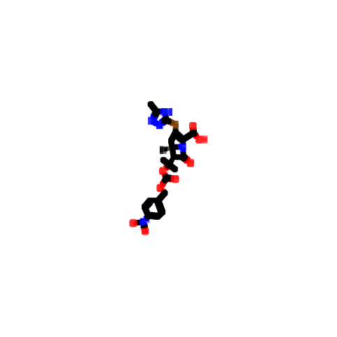 Cc1nnc(SC2=C(C(=O)O)N3C(=O)[C@@H](C(C)(C)OC(=O)OCc4ccc([N+](=O)[O-])cc4)[C@H]3C2)[nH]1